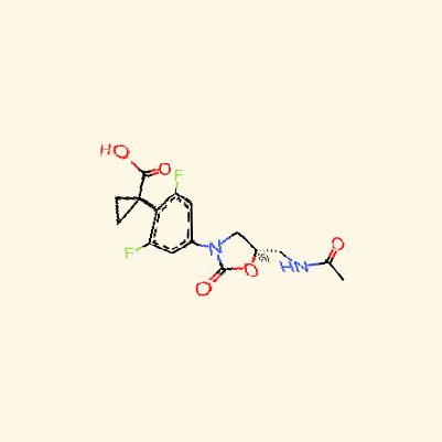 CC(=O)NC[C@H]1CN(c2cc(F)c(C3(C(=O)O)CC3)c(F)c2)C(=O)O1